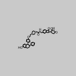 O=C(CN1CCN(CCOc2ccc([C@@H]3c4ccc(O)cc4CC[C@@H]3c3ccccc3)cc2)CC1)NCc1ccc2c(c1)CN(C1CCC(=O)NC1=O)C2=O